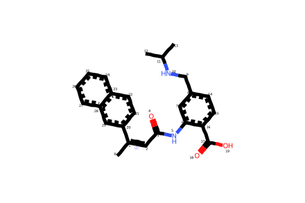 C/C(=C/C(=O)Nc1cc(CNC(C)C)ccc1C(=O)O)c1ccc2ccccc2c1